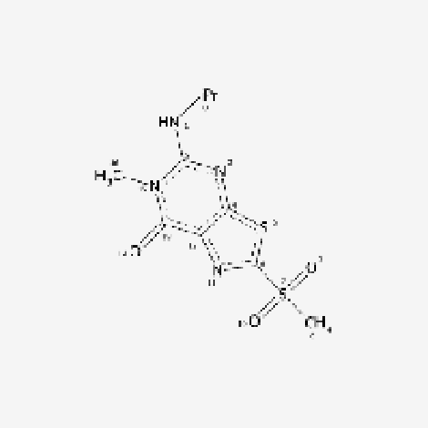 CC(C)Nc1nc2sc(S(C)(=O)=O)nc2c(=O)n1C